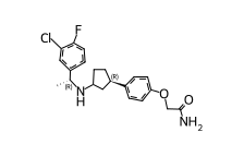 C[C@@H](NC1CC[C@@H](c2ccc(OCC(N)=O)cc2)C1)c1ccc(F)c(Cl)c1